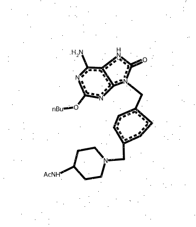 CCCCOc1nc(N)c2[nH]c(=O)n(Cc3ccc(CN4CCC(NC(C)=O)CC4)cc3)c2n1